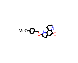 COc1ccc(COc2ccc3cc(O)c4ncccc4c3n2)cc1